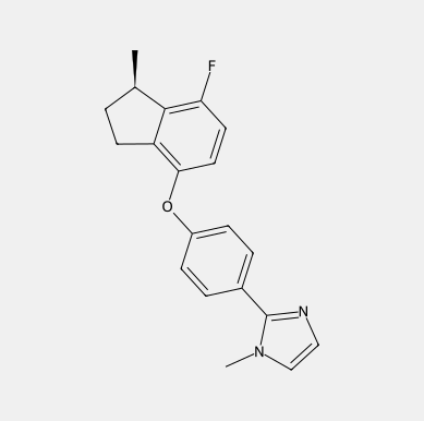 C[C@@H]1CCc2c(Oc3ccc(-c4nccn4C)cc3)ccc(F)c21